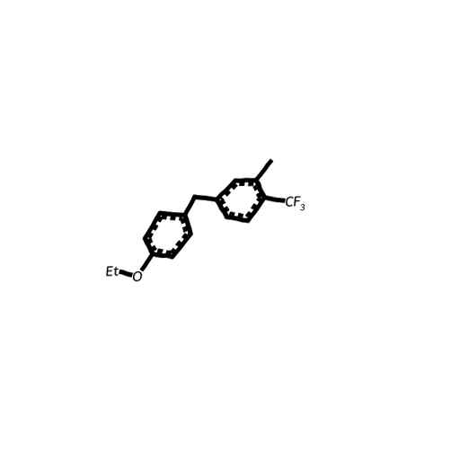 CCOc1ccc(Cc2ccc(C(F)(F)F)c(C)c2)cc1